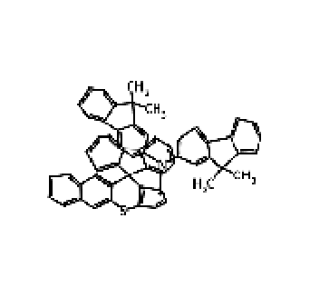 CC1(C)c2ccccc2-c2ccc(N(c3ccc4c(c3)C(C)(C)c3ccccc3-4)c3cccc4c3C3(c5cc6ccccc6cc5S4)c4ccccc4-c4ccccc43)cc21